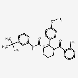 COc1ccc([C@H]2[C@@H](C(=O)Nc3cccc(C(C)(C)C)c3)CCCN2C(=O)c2ccccc2C)cc1